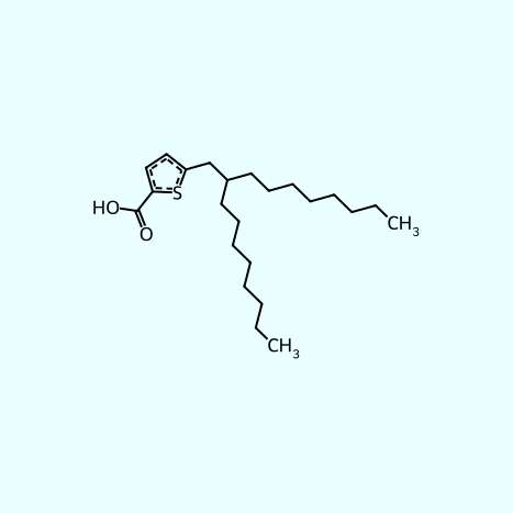 CCCCCCCCC(CCCCCCCC)Cc1ccc(C(=O)O)s1